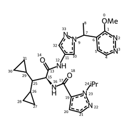 COc1nnccc1C(C)n1cc(NC(=O)[C@@H](NC(=O)c2ccnn2C(C)C)C(C2CC2)C2CC2)cn1